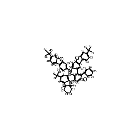 CC(C)(C)c1cc2c3c(c1)C1(C)CCCCC1(C)N3c1cc3oc4ccccc4c3c3c1B2N(c1ccc2c(c1)oc1cc(C(C)(C)C)ccc12)c1cc2oc4cc(C(C)(C)C)ccc4c2cc1-3